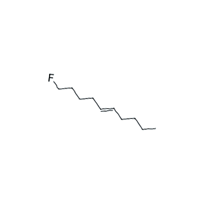 CCCCC=CCCCCF